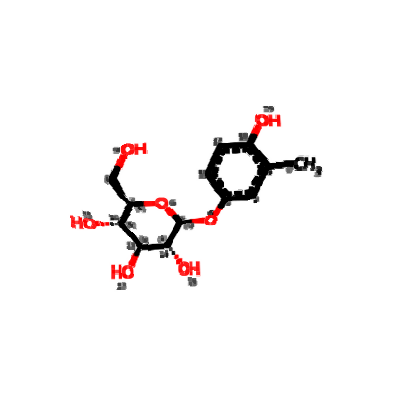 Cc1cc(O[C@@H]2O[C@H](CO)[C@@H](O)[C@H](O)[C@H]2O)ccc1O